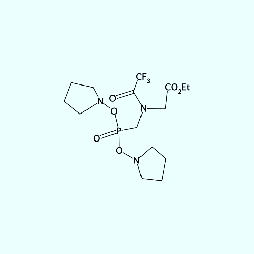 CCOC(=O)CN(CP(=O)(ON1CCCC1)ON1CCCC1)C(=O)C(F)(F)F